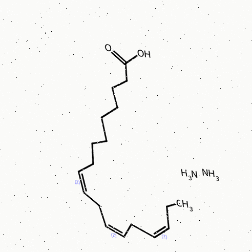 CC/C=C\C/C=C\C/C=C\CCCCCCCC(=O)O.N.N